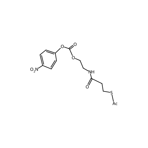 CC(=O)SCCC(=O)NCCOC(=O)Oc1ccc([N+](=O)[O-])cc1